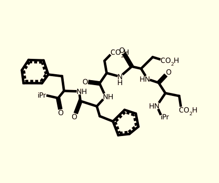 CC(C)NC(CC(=O)O)C(=O)NC(CC(=O)O)C(=O)NC(CC(=O)O)C(=O)NC(Cc1ccccc1)C(=O)NC(Cc1ccccc1)C(=O)C(C)C